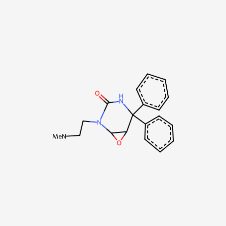 CNCCN1C(=O)NC(c2ccccc2)(c2ccccc2)C2OC21